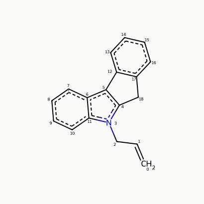 C=CCn1c2c(c3[c]cccc31)-c1ccccc1C2